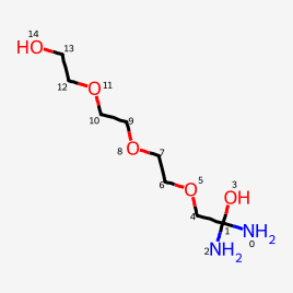 NC(N)(O)COCCOCCOCCO